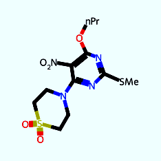 CCCOc1nc(SC)nc(N2CCS(=O)(=O)CC2)c1[N+](=O)[O-]